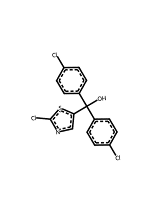 OC(c1ccc(Cl)cc1)(c1ccc(Cl)cc1)c1cnc(Cl)s1